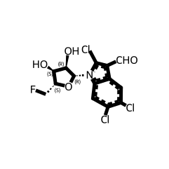 O=Cc1c(Cl)n([C@@H]2O[C@H](CF)[C@@H](O)[C@H]2O)c2cc(Cl)c(Cl)cc12